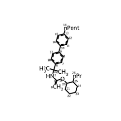 C=C(NC(C)(C)c1ccc(-c2ccc(CCCCC)cc2)cc1)OC1CCCCC1CCC